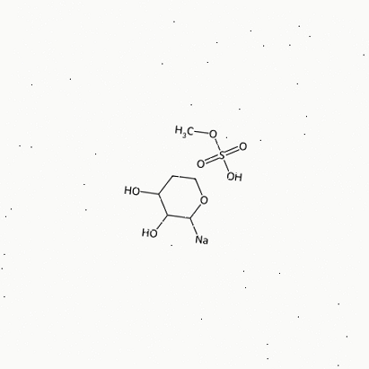 COS(=O)(=O)O.OC1CCO[CH]([Na])C1O